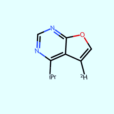 [2H]c1coc2ncnc(C(C)C)c12